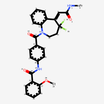 CCCNC(=O)C=C1c2ccccc2N(C(=O)c2ccc(NC(=O)c3ccccc3OCC)cc2)CCC1(F)F